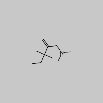 C=C(CN(C)C)C(C)(C)CC